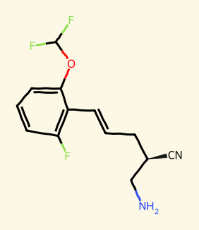 N#C[C@@H](CN)C/C=C/c1c(F)cccc1OC(F)F